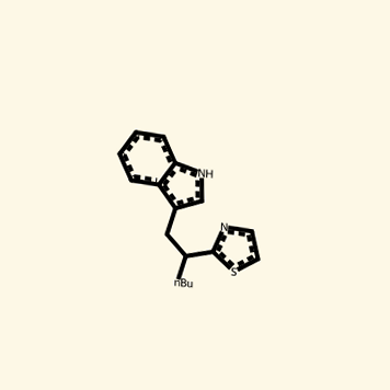 CCCCC(Cc1c[nH]c2ccccc12)c1nccs1